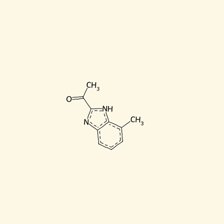 CC(=O)c1nc2cccc(C)c2[nH]1